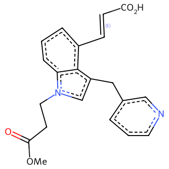 COC(=O)CCn1cc(Cc2cccnc2)c2c(/C=C/C(=O)O)cccc21